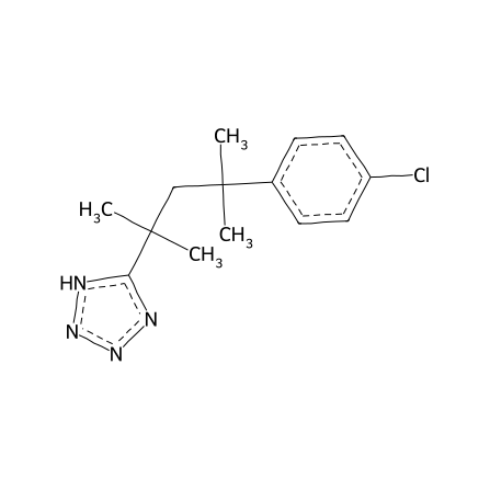 CC(C)(CC(C)(C)c1nnn[nH]1)c1ccc(Cl)cc1